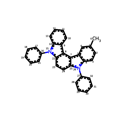 Cc1ccc2c(c1)c1c3c4ccccc4n(-c4ccccc4)c3ccc1n2-c1ccccc1